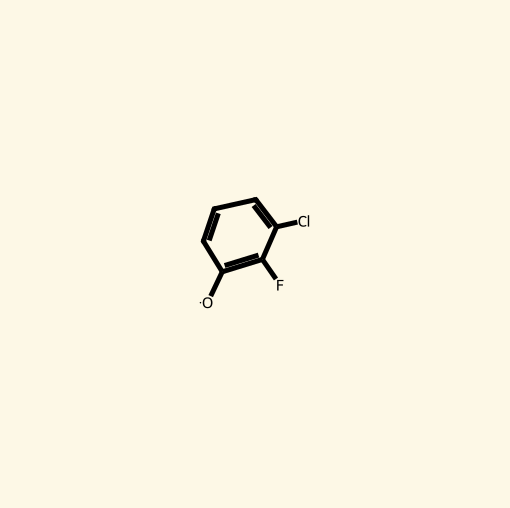 [O]c1cccc(Cl)c1F